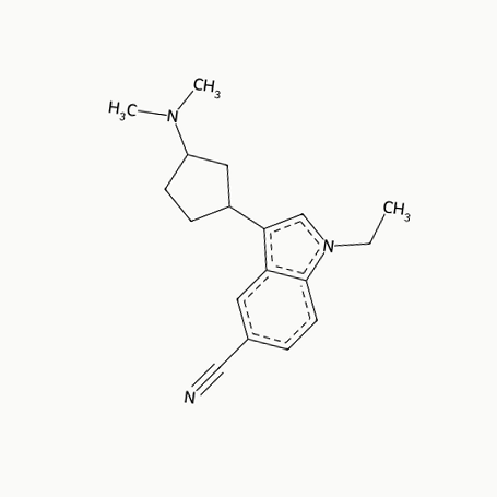 CCn1cc(C2CCC(N(C)C)C2)c2cc(C#N)ccc21